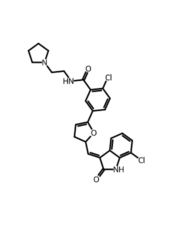 O=C1Nc2c(Cl)cccc2/C1=C\C1CC=C(c2ccc(Cl)c(C(=O)NCCN3CCCC3)c2)O1